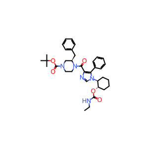 CCNC(=O)O[C@H]1CCCC[C@@H]1n1cnc(C(=O)N2CCN(C(=O)OC(C)(C)C)C[C@H]2Cc2ccccc2)c1-c1ccccc1